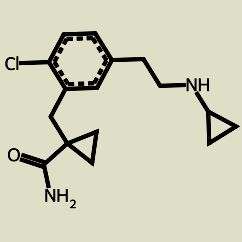 NC(=O)C1(Cc2cc(CCNC3CC3)ccc2Cl)CC1